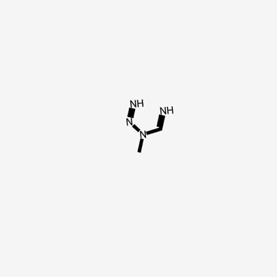 CN(C=N)N=N